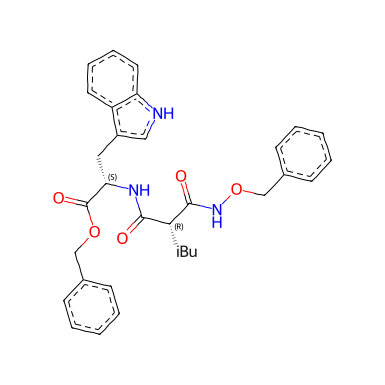 CCC(C)[C@@H](C(=O)NOCc1ccccc1)C(=O)N[C@@H](Cc1c[nH]c2ccccc12)C(=O)OCc1ccccc1